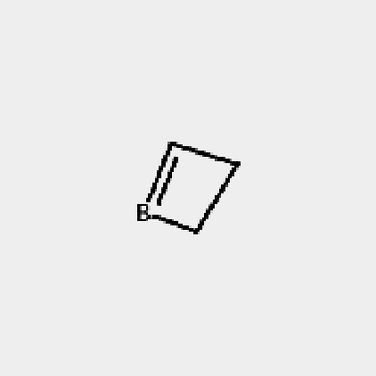 B1=CCC1